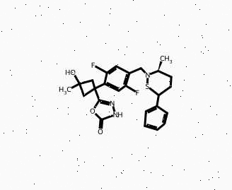 C[C@H]1CCC(c2ccccc2)SN1Cc1cc(F)c(C2(c3n[nH]c(=O)o3)CC(C)(O)C2)cc1F